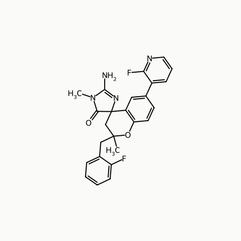 CN1C(=O)C2(CC(C)(Cc3ccccc3F)Oc3ccc(-c4cccnc4F)cc32)N=C1N